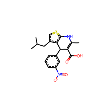 CC1=C(C(=O)O)C(c2cccc([N+](=O)[O-])c2)c2c(CC(C)C)csc2N1